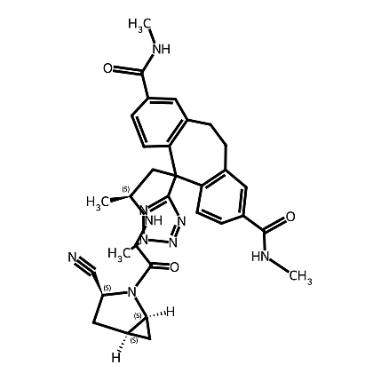 CNC(=O)c1ccc2c(c1)CCc1cc(C(=O)NC)ccc1C2(C[C@H](C)NCC(=O)N1[C@H](C#N)C[C@@H]2C[C@@H]21)c1nnn(C)n1